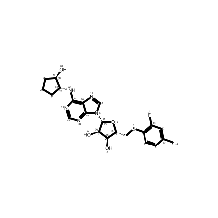 O[C@@H]1[C@H](O)[C@@H](CSc2ccc(F)cc2F)O[C@H]1n1cnc2c(N[C@@H]3CCC[C@H]3O)ncnc21